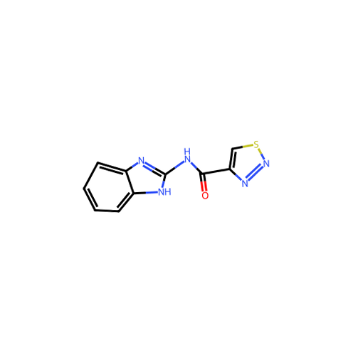 O=C(Nc1nc2ccccc2[nH]1)c1csnn1